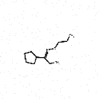 CCCON=C(CC)C1CCCC1